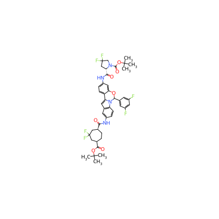 CC(C)(C)OC(=O)C1CC[C@H](C(=O)Nc2ccc3c(c2)cc2n3C(c3cc(F)cc(F)c3)Oc3cc(NC(=O)[C@@H]4CC(F)(F)CN4C(=O)OC(C)(C)C)ccc3-2)CC(F)(F)C1